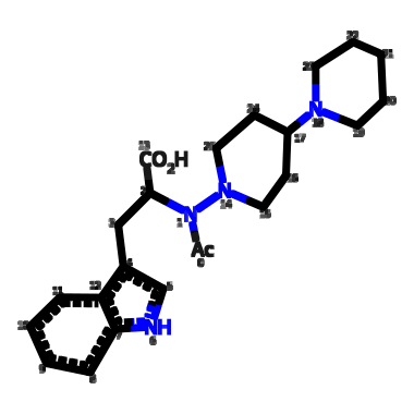 CC(=O)N(C(Cc1c[nH]c2ccccc12)C(=O)O)N1CCC(N2CCCCC2)CC1